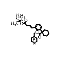 CC(C)(C)OC(=O)C/C=C/c1cccc(C2(C(=O)OCC34CCN(CC3)CC4)CCCCC2)c1